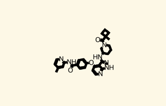 Cc1ccnc(NC(=O)c2ccc(Oc3ccnc4[nH]nc(NC5CCCN(C(=O)C6(C)CCC6)C5)c34)cc2)c1